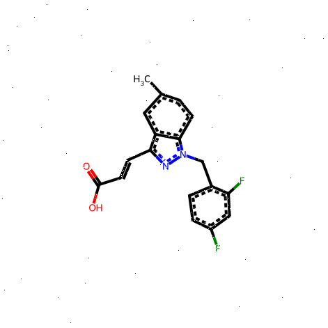 Cc1ccc2c(c1)c(/C=C/C(=O)O)nn2Cc1ccc(F)cc1F